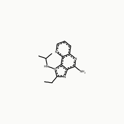 CCc1nc2c(N)nc3cccnc3c2n1NC(C)C